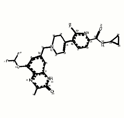 Cc1nc2c(OC(F)F)cc(CN3CC=C(c4ccc(C(=O)NC5CC5)nc4F)CC3)cc2[nH]c1=O